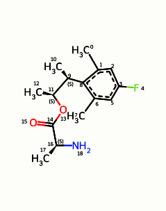 Cc1cc(F)cc(C)c1[C@H](C)[C@H](C)OC(=O)[C@H](C)N